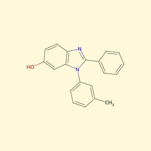 Cc1cccc(-n2c(-c3ccccc3)nc3ccc(O)cc32)c1